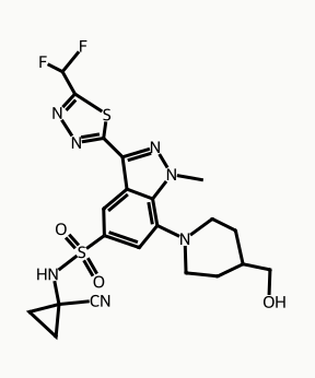 Cn1nc(-c2nnc(C(F)F)s2)c2cc(S(=O)(=O)NC3(C#N)CC3)cc(N3CCC(CO)CC3)c21